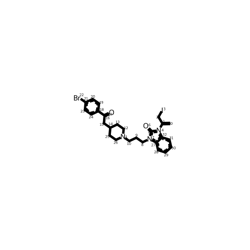 C=C(CI)n1c(=O)n(CCCN2CCC(CC(=O)c3ccc(Br)cc3)CC2)c2ccccc21